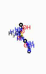 CCN1C(=O)[C@@H](CNc2ccc(NC(=O)NCCN3CCCC3)cc2)SC1[C@H](N)C(=O)NC(CO)c1ccccc1